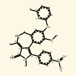 COc1cc2c(cc1Oc1cccc(C)n1)CNC(C)=C1C(=N)N(C)C(c3ccc([N+](=O)[O-])cc3)=C12